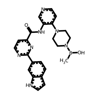 CB(O)N1CCN(c2ccncc2NC(=O)c2ccnc(-c3ccc4cc[nH]c4c3)n2)CC1